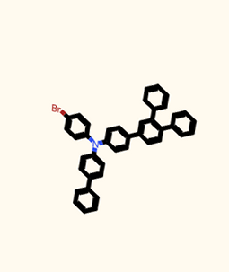 Brc1ccc(N(c2ccc(-c3ccccc3)cc2)c2ccc(-c3ccc(-c4ccccc4)c(C4C=CC=CC4)c3)cc2)cc1